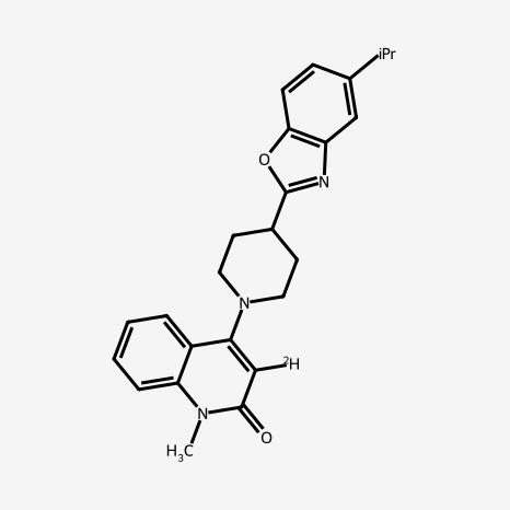 [2H]c1c(N2CCC(c3nc4cc(C(C)C)ccc4o3)CC2)c2ccccc2n(C)c1=O